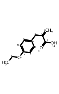 C=C(Cc1ccc(OCC)cc1)C(=O)O